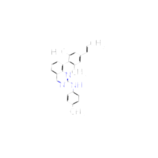 C/C=C/c1cc(C)c(-c2cccc3cnc(Nc4ccc(C)cc4)nc23)c(C)c1